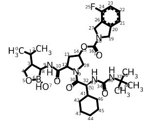 CC(C)C1COB(O)C1NC(=O)C1CC(OC(=O)N2Cc3cccc(F)c3C2)CN1C(=O)[C@@H](NC(=O)NC(C)(C)C)C1CCCCC1